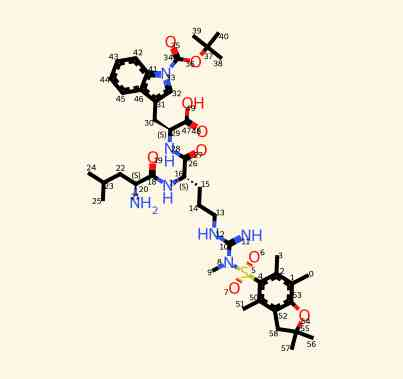 Cc1c(C)c(S(=O)(=O)N(C)C(=N)NCCC[C@H](NC(=O)[C@@H](N)CC(C)C)C(=O)N[C@@H](Cc2cn(C(=O)OC(C)(C)C)c3ccccc23)C(=O)O)c(C)c2c1OC(C)(C)C2